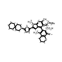 Cc1nc2c(cc(-c3nnc(N4CCC5(CCCCC5)CC4)o3)n2C)c(-c2cc(F)c3c(c2C)CCCO3)c1[C@H](OC(C)(C)C)C(=O)O